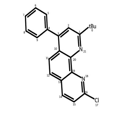 CC(C)(C)c1cc(-c2ccccc2)c2ccc3ccc(Cl)nc3c2n1